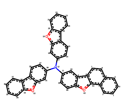 c1ccc2c(c1)ccc1c3cc(N(c4ccc5c(c4)oc4ccccc45)c4ccc5c(c4)oc4ccccc45)ccc3oc21